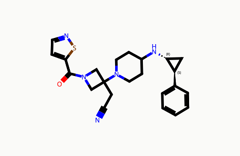 N#CCC1(N2CCC(N[C@@H]3C[C@H]3c3ccccc3)CC2)CN(C(=O)c2ccns2)C1